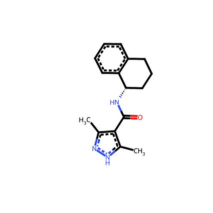 Cc1n[nH]c(C)c1C(=O)N[C@H]1CCCc2ccccc21